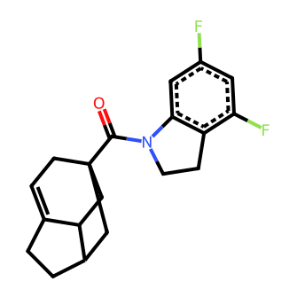 O=C(N1CCc2c(F)cc(F)cc21)C12CC=C3CCC(C1)C3C2